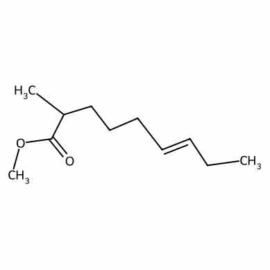 CCC=CCCCC(C)C(=O)OC